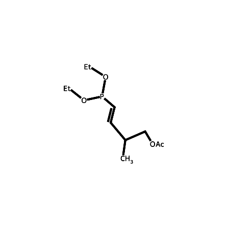 CCOP(/C=C/C(C)COC(C)=O)OCC